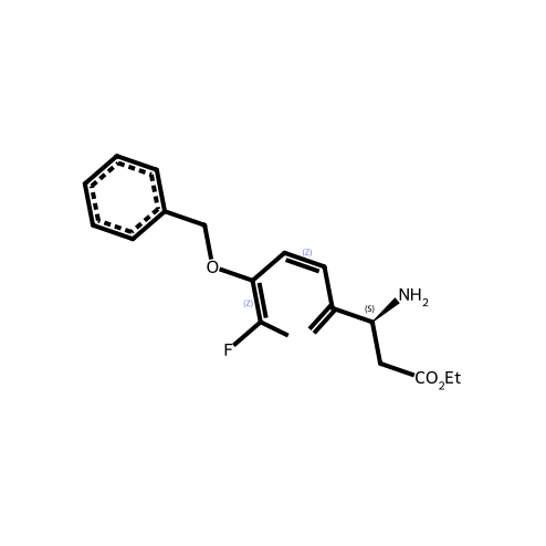 C=C(/C=C\C(OCc1ccccc1)=C(/C)F)[C@@H](N)CC(=O)OCC